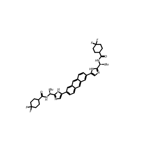 CC(C)(C)[C@H](NC(=O)C1CCC(F)(F)CC1)c1ncc(-c2ccc3cc4cc(-c5cnc([C@@H](NC(=O)C6CCC(F)(F)CC6)C(C)(C)C)[nH]5)ccc4cc3c2)[nH]1